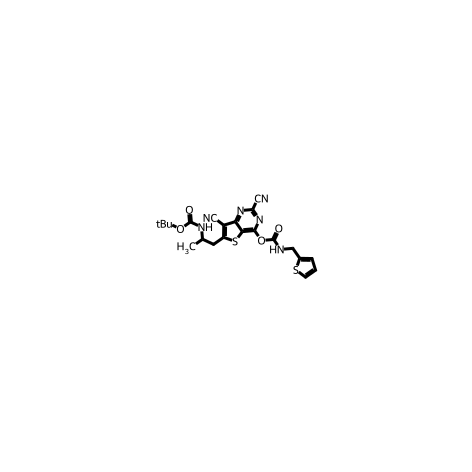 CC(Cc1sc2c(OC(=O)NCc3cccs3)nc(C#N)nc2c1C#N)NC(=O)OC(C)(C)C